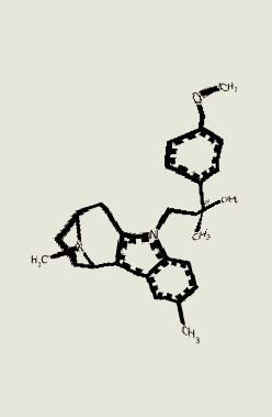 COc1ccc([C@](C)(O)Cn2c3c(c4cc(C)ccc42)C2CCC(C3)N2C)cc1